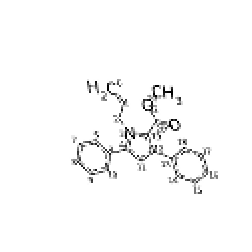 C=CCn1c(-c2ccccc2)cc(-c2ccccc2)c1C(=O)OC